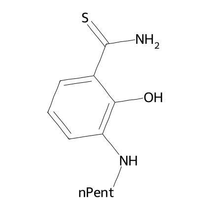 CCCCCNc1cccc(C(N)=S)c1O